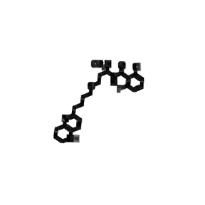 O=C(NC(CCOCCCCc1ccc2c(n1)CCCN2)C(=O)O)c1c(F)cccc1Cl